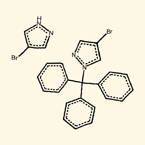 Brc1cn[nH]c1.Brc1cnn(C(c2ccccc2)(c2ccccc2)c2ccccc2)c1